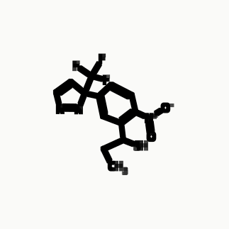 CCC(S)c1cc(C2(C(F)(F)F)C=CN=N2)ccc1[N+](=O)[O-]